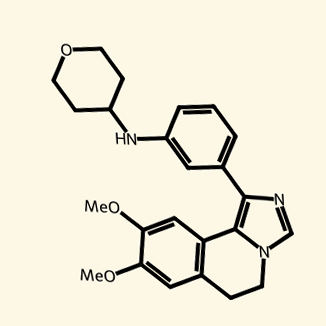 COc1cc2c(cc1OC)-c1c(-c3cccc(NC4CCOCC4)c3)ncn1CC2